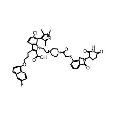 Cc1nn(C)c(C)c1-c1c(Cl)ccc2c(CCCOc3cccc4cc(F)ccc34)c(C(=O)O)n(CCN3CCN(C(=O)CSc4cccc5c4CN(C4CCC(=O)NC4=O)C5=O)CC3)c12